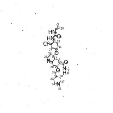 CCNC(=O)c1cc2c(Oc3ccc(NC(=O)NC4CC4)c(Cl)c3)ccnc2cc1OCC1CCN(C)CC1